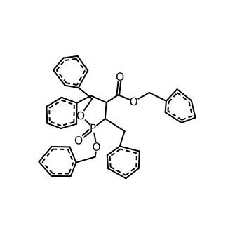 O=C(OCc1ccccc1)C(Cc1ccccc1)C(Cc1ccccc1)P(=O)(OCc1ccccc1)OCc1ccccc1